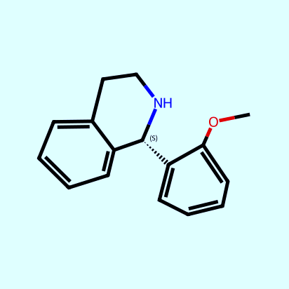 COc1ccccc1[C@H]1NCCc2ccccc21